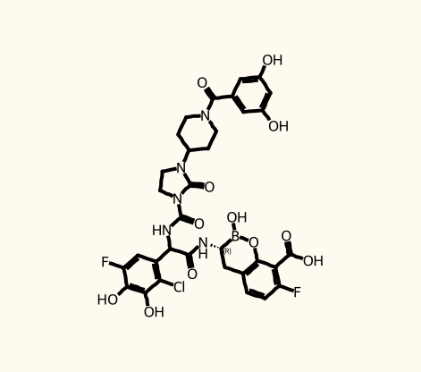 O=C(O)c1c(F)ccc2c1OB(O)[C@@H](NC(=O)C(NC(=O)N1CCN(C3CCN(C(=O)c4cc(O)cc(O)c4)CC3)C1=O)c1cc(F)c(O)c(O)c1Cl)C2